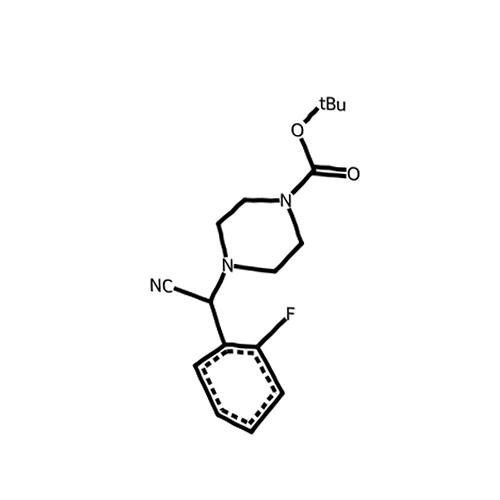 CC(C)(C)OC(=O)N1CCN(C(C#N)c2ccccc2F)CC1